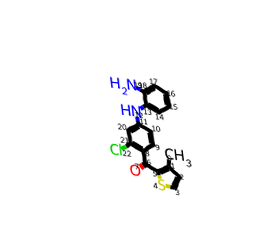 Cc1ccsc1C(=O)c1ccc(Nc2ccccc2N)cc1Cl